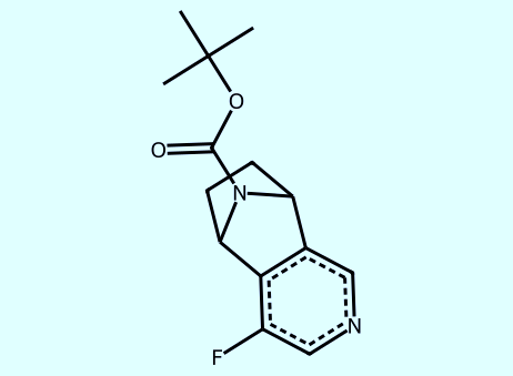 CC(C)(C)OC(=O)N1C2CCC1c1c(F)cncc12